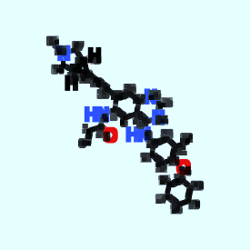 C=CC(=O)Nc1cc2c(Nc3ccc(Oc4ccccc4)c(C)c3)ncnc2cc1C#C[C@H]1[C@H]2CN(C)C[C@@H]12